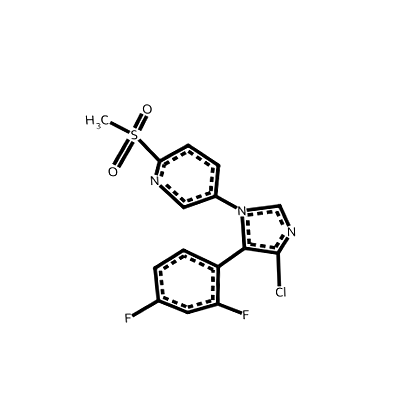 CS(=O)(=O)c1ccc(-n2cnc(Cl)c2-c2ccc(F)cc2F)cn1